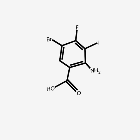 Nc1c(C(=O)O)cc(Br)c(F)c1I